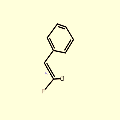 F/C(Cl)=C/c1ccccc1